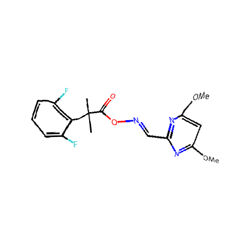 COc1cc(OC)nc(C=NOC(=O)C(C)(C)c2c(F)cccc2F)n1